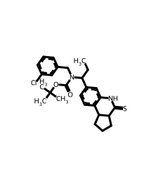 CCC(c1ccc2c(c1)NC(=S)C1CCCC21)N(Cc1cccc(Cl)c1)C(=O)OC(C)(C)C